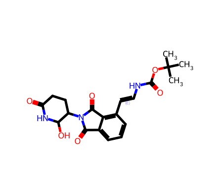 CC(C)(C)OC(=O)N/C=C/c1cccc2c1C(=O)N(C1CCC(=O)NC1O)C2=O